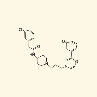 O=C1C=CC=C(C2=CN(CCCN3CCC(NC(=O)Cc4cccc(Cl)c4)CC3)C=CO2)C1